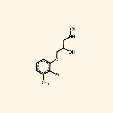 CCc1c(C)cccc1OCC(O)CNC(C)(C)C